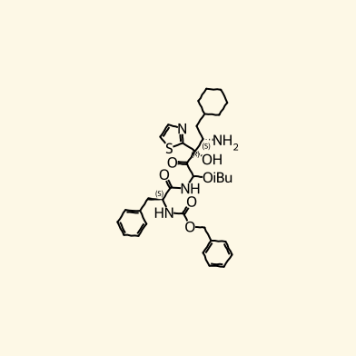 CC(C)COC(NC(=O)[C@H](Cc1ccccc1)NC(=O)OCc1ccccc1)C(=O)[C@@](O)(c1nccs1)[C@@H](N)CC1CCCCC1